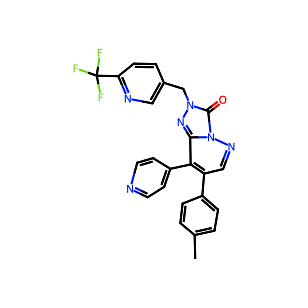 Cc1ccc(-c2cnn3c(=O)n(Cc4ccc(C(F)(F)F)nc4)nc3c2-c2ccncc2)cc1